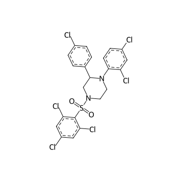 O=S(=O)(c1c(Cl)cc(Cl)cc1Cl)N1CCN(c2ccc(Cl)cc2Cl)C(c2ccc(Cl)cc2)C1